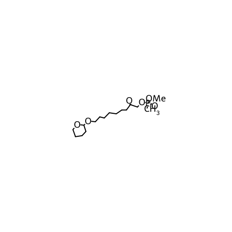 COP(C)(=O)OCC(=O)CCCCCCCOC1CCCCO1